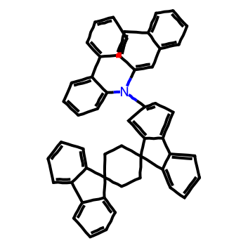 c1ccc(-c2ccccc2N(c2ccc3c(c2)C2(CCC4(CC2)c2ccccc2-c2ccccc24)c2ccccc2-3)c2ccc3ccccc3c2)cc1